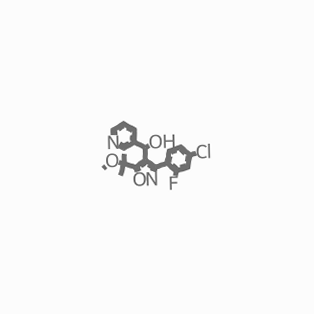 COC(C)(C)c1onc(-c2ccc(Cl)cc2F)c1C(O)c1cccnc1